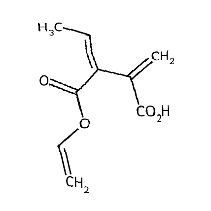 C=COC(=O)C(=CC)C(=C)C(=O)O